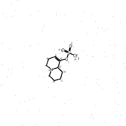 O=S(=O)(OC1=CCCN2CCCCC12)C(F)(F)F